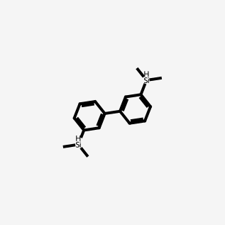 C[SiH](C)c1cccc(-c2cccc([SiH](C)C)c2)c1